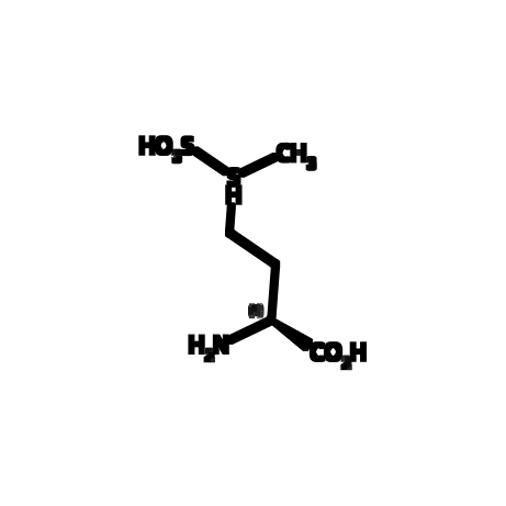 C[SH](CC[C@H](N)C(=O)O)S(=O)(=O)O